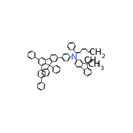 C=C/C=C\C=C(/c1ccccc1)N(c1ccc(-c2ccc3c(c2)C(c2ccccc2)(c2ccccc2)c2c(-c4ccc(-c5ccccc5)cc4)cc(-c4ccccc4)cc2-3)cc1)c1ccc2c(c1)C(C)(C)c1ccccc1-2